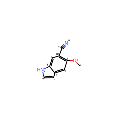 COc1cc2cc[nH]c2cc1C#N